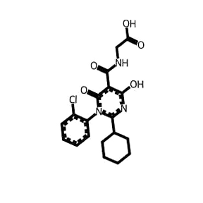 O=C(O)CNC(=O)c1c(O)nc(C2CCCCC2)n(-c2ccccc2Cl)c1=O